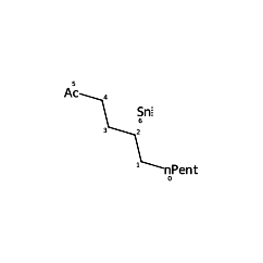 CCCCCCCCCC(C)=O.[Sn]